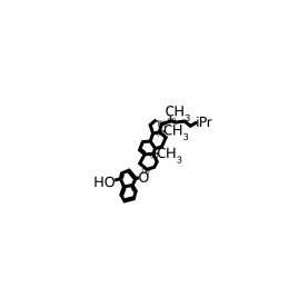 CC(C)CCC[C@@H](C)[C@H]1CCC2C3CC=C4C[C@@H](Oc5ccc(O)c6ccccc56)CC[C@]4(C)C3CC[C@@]21C